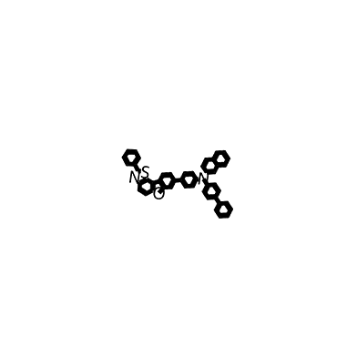 c1ccc(-c2ccc(N(c3ccc(-c4ccc5c(c4)oc4ccc6nc(-c7ccccc7)sc6c45)cc3)c3ccc4ccccc4c3)cc2)cc1